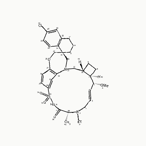 CCN1C/C=C/[C@@H](OC)[C@@H]2CC[C@H]2CN2C[C@@]3(CCCc4cc(Cl)ccc43)COc3ccc(cc32)S(=O)(=O)NC(=O)[C@H]1C